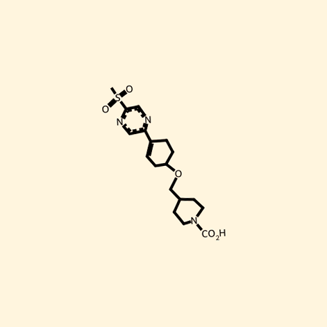 CS(=O)(=O)c1cnc(C2=CCC(OCC3CCN(C(=O)O)CC3)CC2)cn1